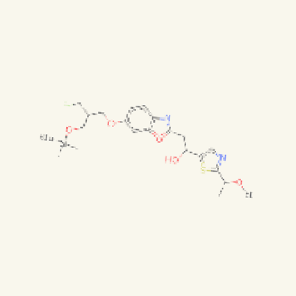 CCOC(C)c1ncc(C(O)Cc2nc3ccc(OCC(CF)CO[Si](C)(C)C(C)(C)C)cc3o2)s1